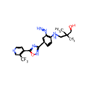 CC(C)(CO)CNc1ccc(-c2noc(-c3ccncc3C(F)(F)F)n2)cc1N=N